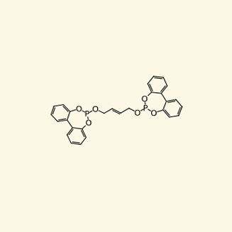 C(=CCOp1oc2ccccc2c2ccccc2o1)COp1oc2ccccc2c2ccccc2o1